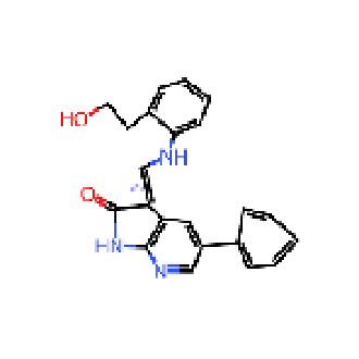 O=C1Nc2ncc(-c3ccccc3)cc2/C1=C\Nc1ccccc1CCO